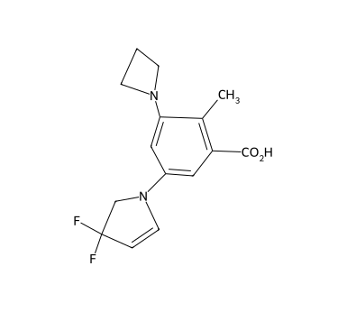 Cc1c(C(=O)O)cc(N2C=CC(F)(F)C2)cc1N1CCC1